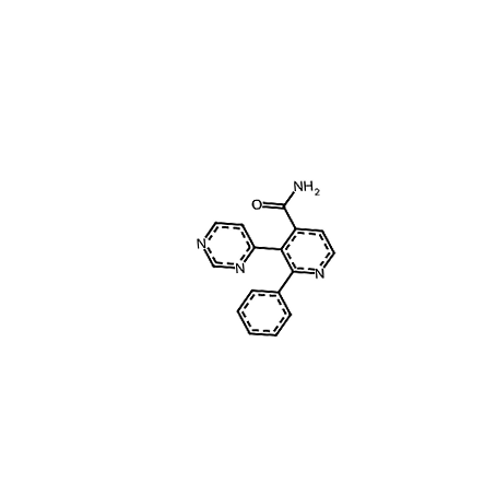 NC(=O)c1ccnc(-c2ccccc2)c1-c1ccncn1